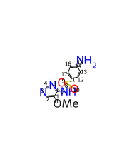 COc1cncnc1NS(=O)(=O)c1ccc(N)cc1